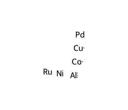 [Al].[Co].[Cu].[Ni].[Pd].[Ru]